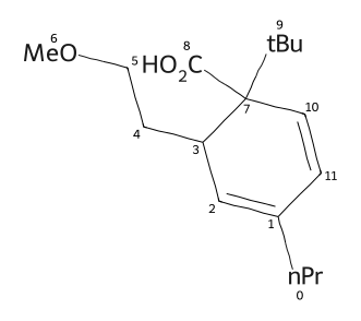 CCCC1=CC(CCOC)C(C(=O)O)(C(C)(C)C)C=C1